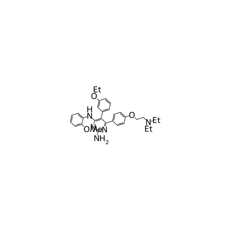 CCOc1cccc(-c2c(Nc3ccccc3OC)nc(N)nc2-c2ccc(OCCN(CC)CC)cc2)c1